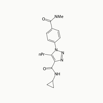 CCCc1c(C(=O)NC2CC2)nnn1-c1ccc(C(=O)NC)cc1